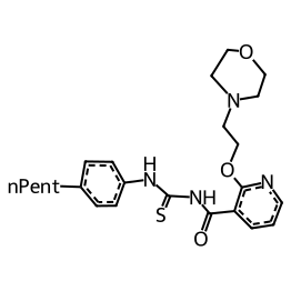 CCCCCc1ccc(NC(=S)NC(=O)c2cccnc2OCCN2CCOCC2)cc1